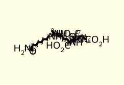 C=C(NCCCCCCCC(N)=O)NCCCC[C@H](NC(=O)N[C@@H](CCC(=O)O)C(=O)O)C(=O)O